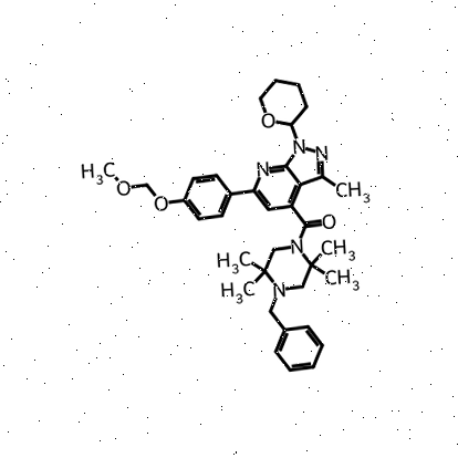 COCOc1ccc(-c2cc(C(=O)N3CC(C)(C)N(Cc4ccccc4)CC3(C)C)c3c(C)nn(C4CCCCO4)c3n2)cc1